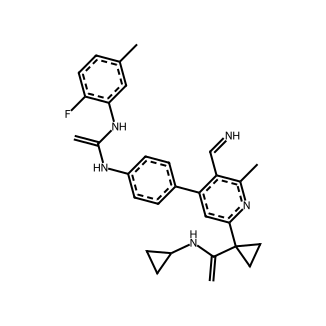 C=C(Nc1ccc(-c2cc(C3(C(=C)NC4CC4)CC3)nc(C)c2C=N)cc1)Nc1cc(C)ccc1F